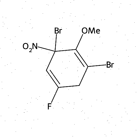 COC1=C(Br)CC(F)=CC1(Br)[N+](=O)[O-]